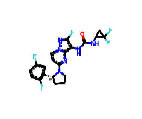 O=C(Nc1c(F)nn2ccc(N3CCC[C@@H]3c3cc(F)ccc3F)nc12)NC1CC1(F)F